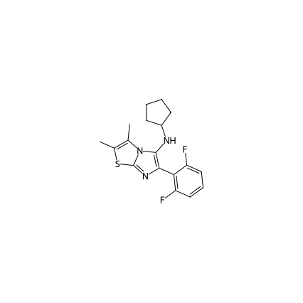 Cc1sc2nc(-c3c(F)cccc3F)c(NC3CCCC3)n2c1C